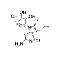 C=CCn1c(=O)n([C@@H]2O[C@H](CO)C(O)C2O)c2nc(N)[nH]c(=O)c21